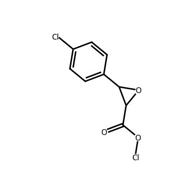 O=C(OCl)C1OC1c1ccc(Cl)cc1